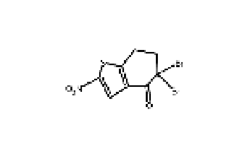 O=C1c2cc([N+](=O)[O-])sc2CCC1(Br)Br